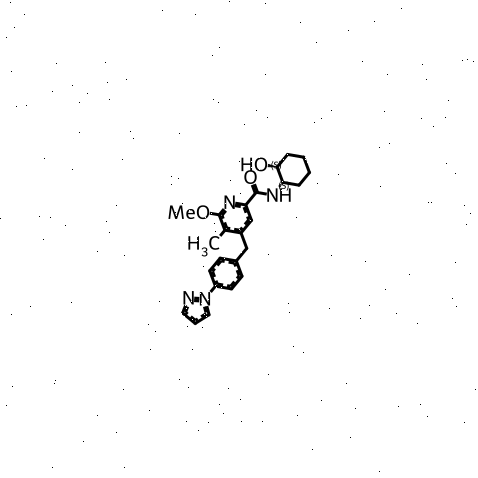 COc1nc(C(=O)N[C@H]2CCCC[C@@H]2O)cc(Cc2ccc(-n3cccn3)cc2)c1C